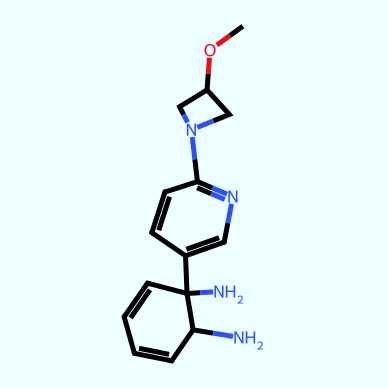 COC1CN(c2ccc(C3(N)C=CC=CC3N)cn2)C1